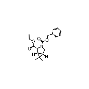 CCOC(=O)[C@@H]1[C@@H]2[C@H](CN1C(=O)OCc1ccccc1)C2(C)C